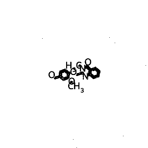 COc1cc(C=O)ccc1OCc1nc2ccccc2c(=O)n1C